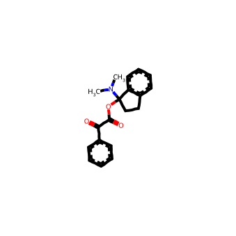 CN(C)C1(OC(=O)C(=O)c2ccccc2)CCc2ccccc21